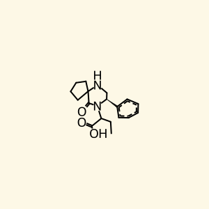 CCC(C(=O)O)N1C(=O)C2(CCCC2)NC[C@H]1c1ccccc1